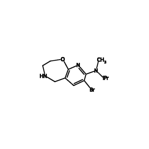 CC(C)N(C)c1nc2c(cc1Br)CNCCO2